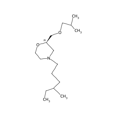 CCC(C)CCCN1CCO[C@@H](COCC(C)C)C1